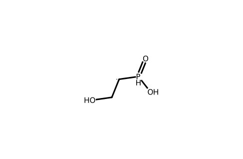 O=[PH](O)[CH]CO